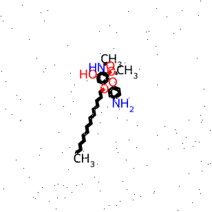 CCCCCCCCCCCCCCCCOc1cc(O)c(NC(C)=O)c(OCC)c1Oc1ccc(N)cc1